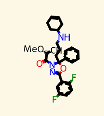 CO[C@@H](C)C(=O)N1N=C(c2cc(F)ccc2F)OC1(CCCNC1CC=CCC1)c1ccccc1